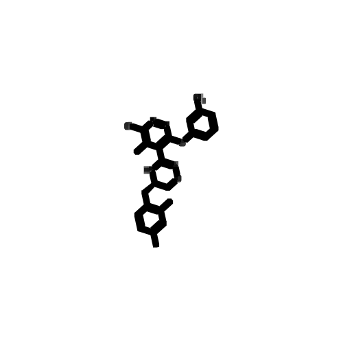 Cc1ccc(C[C@@H]2CON=C(c3c(Oc4cccc(C(F)(F)F)c4)nnc(Cl)c3C)N2)c(C)c1